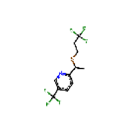 CC(SCCC(F)(F)F)c1ccc(C(F)(F)F)cn1